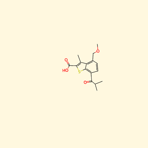 COCc1ccc(C(=O)C(C)C)c2sc(C(=O)O)c(C)c12